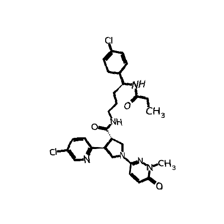 CCC(=O)N[C@@H](CCCNC(=O)[C@@H]1CN(c2ccc(=O)n(C)n2)C[C@H]1c1ccc(Cl)cn1)C1C=CC(Cl)=CC1